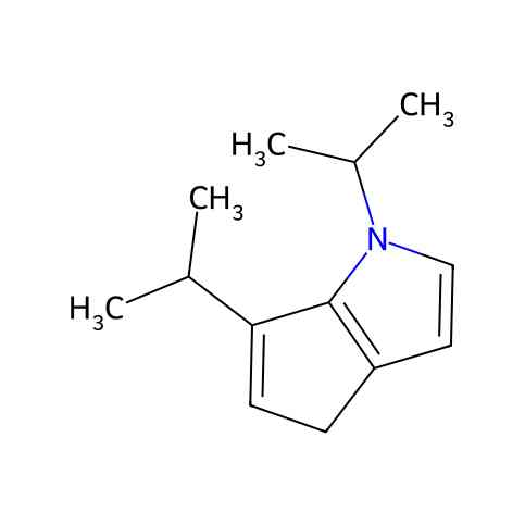 CC(C)C1=CCc2ccn(C(C)C)c21